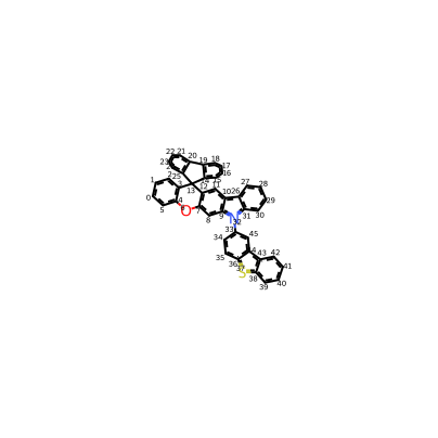 c1ccc2c(c1)Oc1cc3c(cc1C21c2ccccc2-c2ccccc21)c1ccccc1n3-c1ccc2sc3ccccc3c2c1